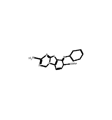 COC1C=CC2=C(SC3=NC(N)=NCN32)C1=NC1CCCCC1